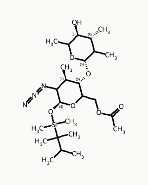 CC(=O)OCC1O[C@@H](O[Si](C)(C)C(C)(C)C(C)C)C(N=[N+]=[N-])[C@@H](C)[C@@H]1O[C@@H]1OC(C)[C@@H](O)[C@H](C)C1C